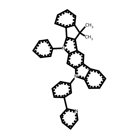 CC1(C)c2ccccc2-c2c1c1cc3c4ccccc4n(-c4cccc(-c5ccccn5)c4)c3cc1n2-c1ccccc1